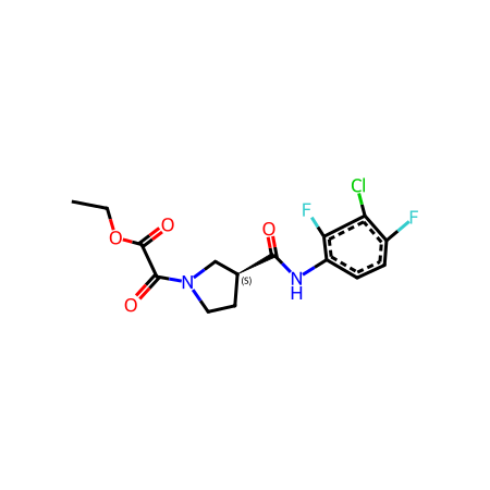 CCOC(=O)C(=O)N1CC[C@H](C(=O)Nc2ccc(F)c(Cl)c2F)C1